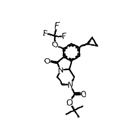 CC(C)(C)OC(=O)N1CCN2C(=O)c3c(OC(F)(F)F)cc(C4CC4)cc3C2C1